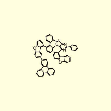 c1ccc(-c2nc(-c3cccc4oc5ccccc5c34)c3c(n2)nc2c4ccccc4c4c(-c5cccc6oc7ccc(-c8ccc9c%10ccccc%10c%10ccccc%10c9c8)cc7c56)cccc4n23)cc1